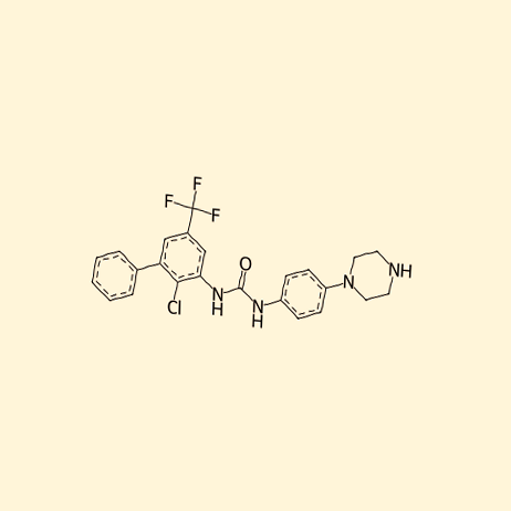 O=C(Nc1ccc(N2CCNCC2)cc1)Nc1cc(C(F)(F)F)cc(-c2ccccc2)c1Cl